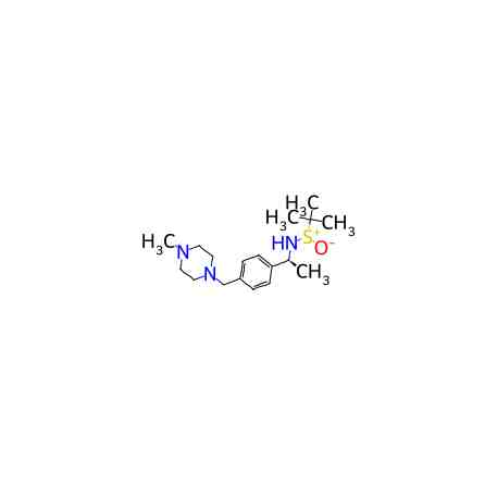 C[C@H](N[S+]([O-])C(C)(C)C)c1ccc(CN2CCN(C)CC2)cc1